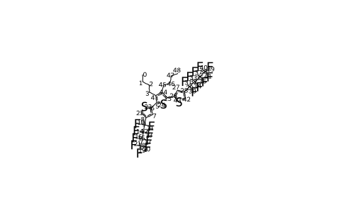 CCCCc1c(-c2cc(C(F)(F)C(F)(F)C(F)(F)C(F)(F)F)cs2)sc(-c2cc(C(F)(F)C(F)(F)C(F)(F)C(F)(F)F)cs2)c1CCCC